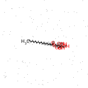 CCCCCCCCCCCCCCCC=CC(=O)OC[C@@H](O)[C@@H](O)[C@H](O)[C@H](O)CO